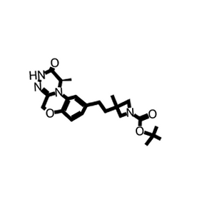 C[C@@H]1C(=O)NN=C2COc3ccc(CCC4(C)CN(C(=O)OC(C)(C)C)C4)cc3N21